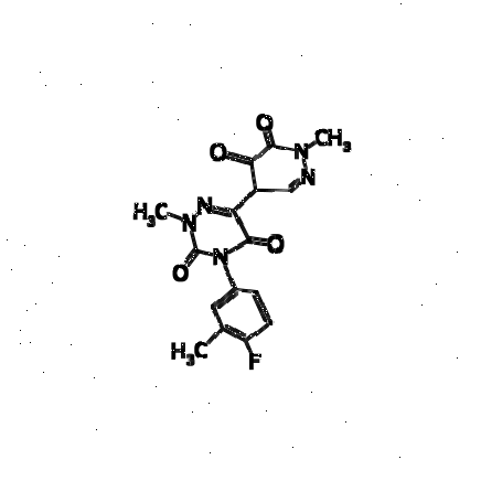 Cc1cc(-n2c(=O)c(C3C=NN(C)C(=O)C3=O)nn(C)c2=O)ccc1F